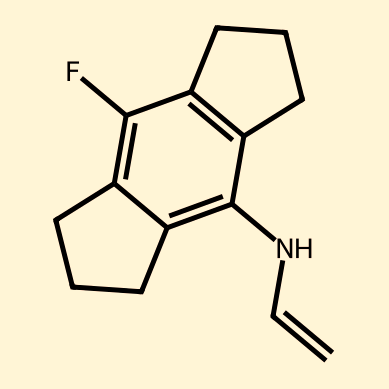 C=CNc1c2c(c(F)c3c1CCC3)CCC2